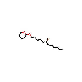 CCCCCCC(Br)CCCCCOC1CCCCO1